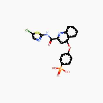 O=C(Nc1ncc(Cl)s1)c1cc(Oc2ccc(P(=O)(O)O)cc2)c2ccccc2n1